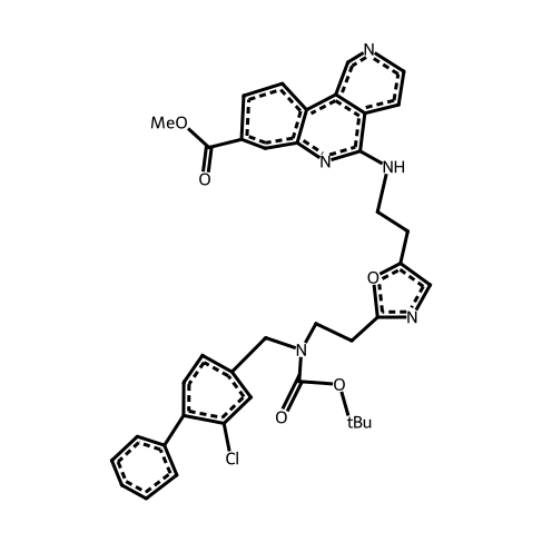 COC(=O)c1ccc2c(c1)nc(NCCc1cnc(CCN(Cc3ccc(-c4ccccc4)c(Cl)c3)C(=O)OC(C)(C)C)o1)c1ccncc12